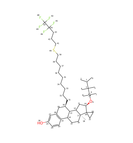 CC(C)C(C)(C)[Si](C)(C)O[C@@H]1CC2C3C(CC[C@]2(C)C12CC2)c1ccc(O)cc1C[C@H]3CCCCCCCCCSCCCC(F)(F)C(F)(F)F